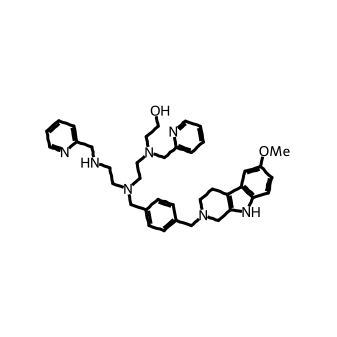 COc1ccc2[nH]c3c(c2c1)CCN(Cc1ccc(CN(CCNCc2ccccn2)CCN(CCO)Cc2ccccn2)cc1)C3